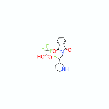 O=C(O)C(F)(F)F.O=C1c2ccccc2C(=O)N1CC(F)=C1CCCNC1